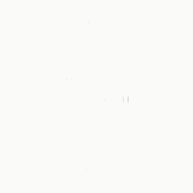 CC(C)c1ccc(-c2coc(-c3cccc(C(=O)O)c3)c2C(=O)O)cc1